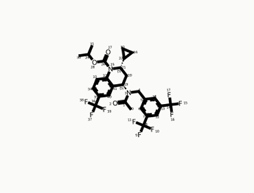 CC(=O)N(Cc1cc(C(F)(F)F)cc(C(F)(F)F)c1)[C@H]1C[C@@H](C2CC2)N(C(=O)OC(C)C)c2ccc(C(F)(F)F)cc21